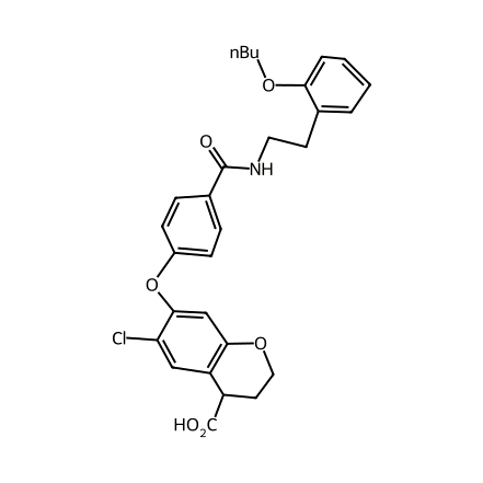 CCCCOc1ccccc1CCNC(=O)c1ccc(Oc2cc3c(cc2Cl)C(C(=O)O)CCO3)cc1